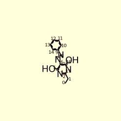 CCc1nc(O)c(/N=N/c2ccccc2)c(O)n1